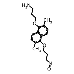 Cc1ccc2c(OCCCN=O)c(C)ccc2c1OCCCN